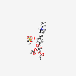 C=CC(=O)OCC1(COC(=O)C=C)COC(c2ccc(C=CC3=CCN(C4CCCC4)C=C3)cc2)OC1.CCS(=O)(=O)O